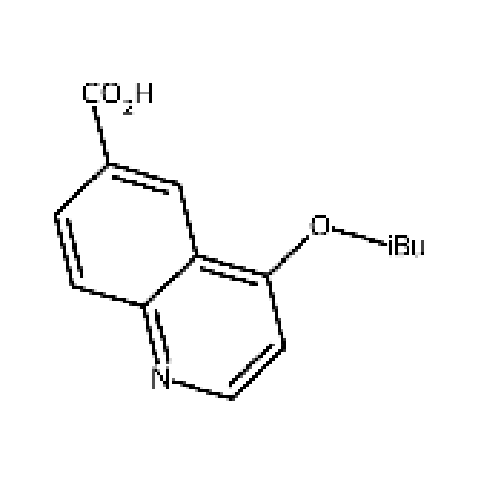 CCC(C)Oc1ccnc2ccc(C(=O)O)cc12